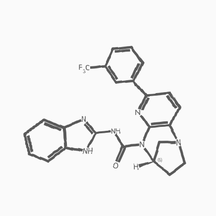 O=C(Nc1nc2ccccc2[nH]1)N1c2nc(-c3cccc(C(F)(F)F)c3)ccc2N2CC[C@H]1C2